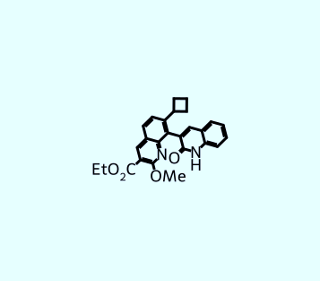 CCOC(=O)c1cc2ccc(C3CCC3)c(-c3cc4ccccc4[nH]c3=O)c2nc1OC